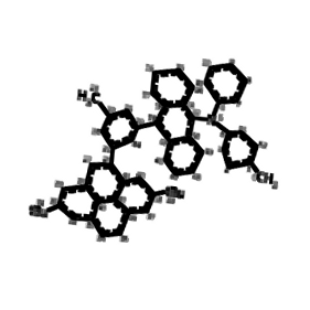 Cc1ccc(N(c2ccccc2)c2c3ccccc3c(-c3cc(C)cc(-c4cc5cc(C(C)(C)C)cc6ccc7cc(C(C)(C)C)cc4c7c65)c3)c3ccccc23)cc1